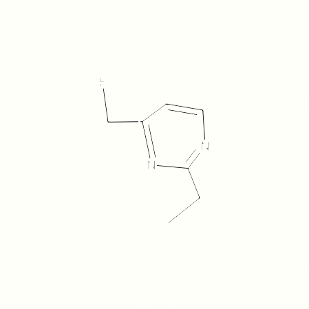 FCc1ccnc(CF)n1